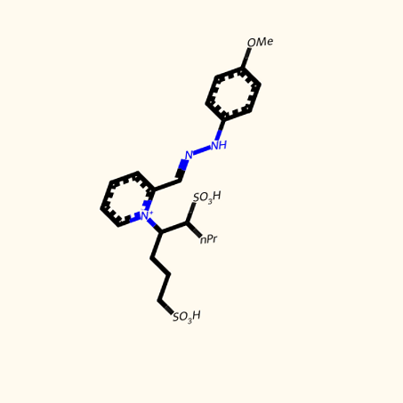 CCCC(C(CCCS(=O)(=O)O)[n+]1ccccc1C=NNc1ccc(OC)cc1)S(=O)(=O)O